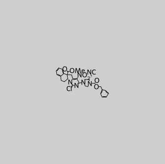 COC(=O)C1(Cc2nc(Cl)nc(N3CCN(C(=O)OCc4ccccc4)[C@@H](CC#N)C3)c2[N+](=O)[O-])CCCc2ccccc21